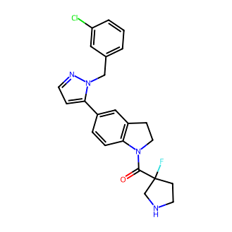 O=C(N1CCc2cc(-c3ccnn3Cc3cccc(Cl)c3)ccc21)C1(F)CCNC1